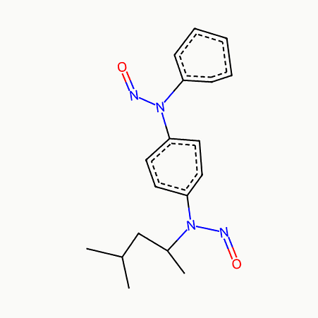 CC(C)CC(C)N(N=O)c1ccc(N(N=O)c2ccccc2)cc1